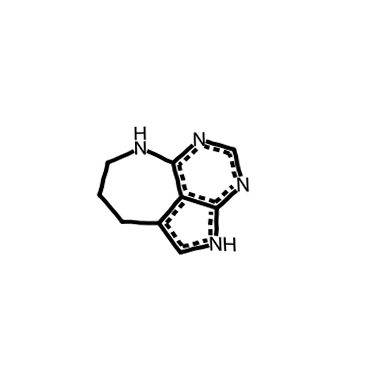 c1nc2c3c(c[nH]c3n1)CCCN2